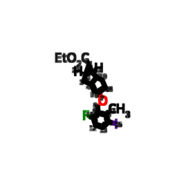 CCOC(=O)[C@H]1[C@@H]2CC3=CC(OCc4c(F)ccc(I)c4C)=CCC3[C@@H]21